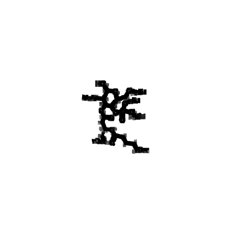 CCCCCCCCCCCCCC(=O)O[C@H](CCCCCCCCCCC)CC(=O)OC1C(NC)C(O)OC(COCCCC)C1OP(=O)(OCCCC)OCCCC